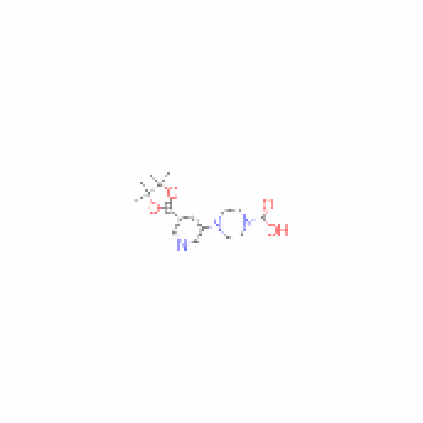 CC1(C)OB(c2cncc(N3CCN(C(=O)O)CC3)c2)OC1(C)C